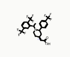 CC(c1cc(C(F)(F)F)ccc1C(F)(F)F)N1CC/C(=C/C(=O)O)CC1c1ccc(C(F)(F)F)cc1